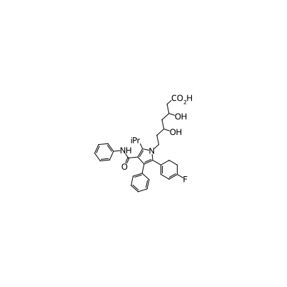 CC(C)c1c(C(=O)Nc2ccccc2)c(-c2ccccc2)c(C2=CC=C(F)CC2)n1CCC(O)CC(O)CC(=O)O